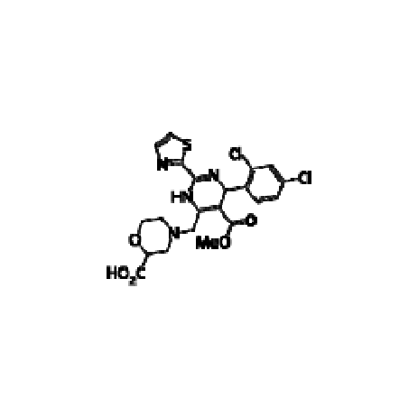 COC(=O)C1=C(CN2CCOC(C(=O)O)C2)NC(c2nccs2)=NC1c1ccc(Cl)cc1Cl